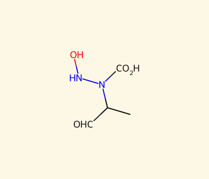 CC(C=O)N(NO)C(=O)O